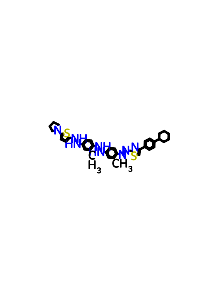 Cc1cc(NNc2ccc(NNc3ccc(N4CCCC4)s3)cc2C)ccc1/N=N/c1nc(-c2ccc(C3CCCCC3)cc2)cs1